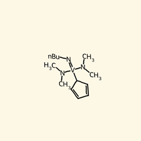 CCCC[N]=[V]([CH]1C=CC=C1)([N](C)C)[N](C)C